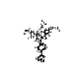 CCOCCC1(CCNC=O)CN(c2ccc(-c3cn[nH]c3)cn2)C(=O)N1Cc1cccc(OC)c1